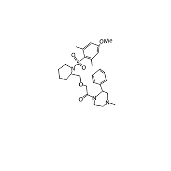 COc1cc(C)c(S(=O)(=O)N2CCCCC2COCC(=O)N2CCN(C)CC2c2ccccc2)c(C)c1